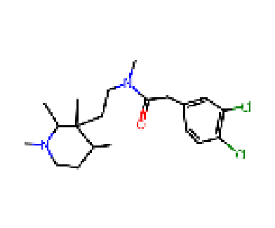 CC1CCN(C)C(C)C1(C)CCN(C)C(=O)Cc1ccc(Cl)c(Cl)c1